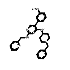 CC(=O)Nc1cccc(-c2cnc(NCc3ccccn3)nc2NC2CCN(Cc3ccccc3)CC2)c1